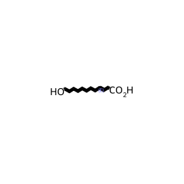 O=C(O)C/C=C/CCCCCCCCO